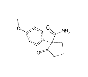 COc1ccc(C2(C(N)=O)CCCC2=O)cc1